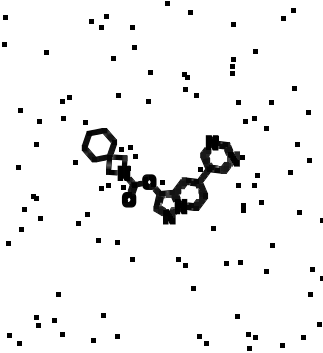 O=C(Oc1cnn2ccc(-c3cncnc3)cc12)N1CC2(CCCCC2)C1